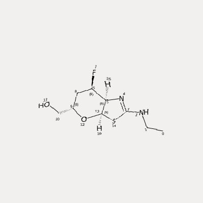 CCNC1=N[C@@H]2[C@H](F)C[C@@H](CO)O[C@@H]2S1